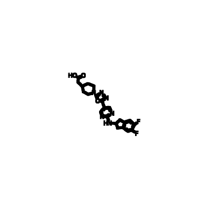 O=C(O)CC1CCN(c2nnc(-c3cnc(NC4Cc5cc(F)c(F)cc5C4)nc3)o2)CC1